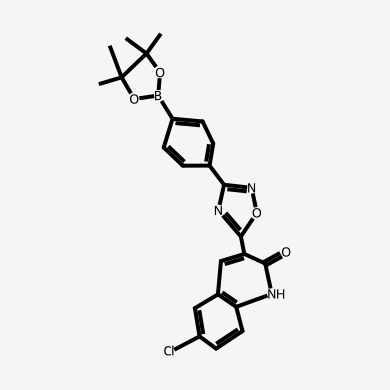 CC1(C)OB(c2ccc(-c3noc(-c4cc5cc(Cl)ccc5[nH]c4=O)n3)cc2)OC1(C)C